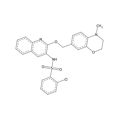 CN1CCOc2cc(COc3nc4ccccc4cc3NS(=O)(=O)c3ccccc3Cl)ccc21